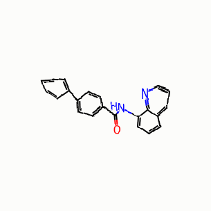 O=C(Nc1cccc2cccnc12)c1ccc(-c2ccccc2)cc1